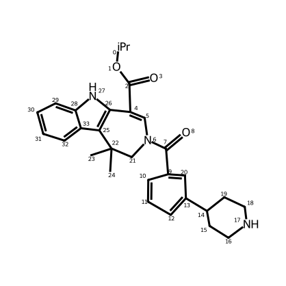 CC(C)OC(=O)C1=CN(C(=O)c2cccc(C3CCNCC3)c2)CC(C)(C)c2c1[nH]c1ccccc21